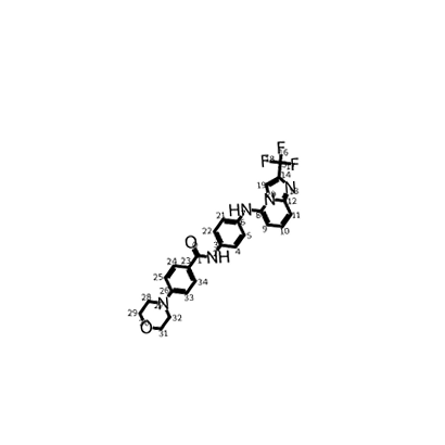 O=C(Nc1ccc(Nc2cccc3nc(C(F)(F)F)cn23)cc1)c1ccc(N2CCOCC2)cc1